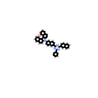 c1ccc(-c2nc(-c3ccc4ccccc4c3)nc(-c3ccc4cc(-n5c6ccc7cccc8oc9cccc%10ccc5c(c%109)c6c78)ccc4c3)n2)cc1